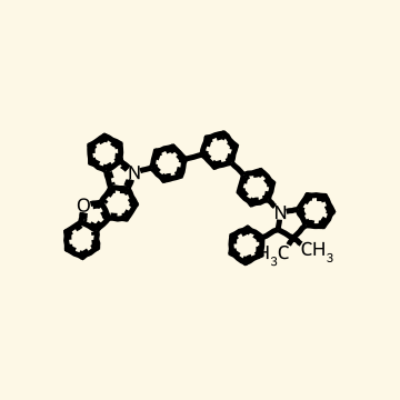 CC1(C)c2ccccc2N(c2ccc(-c3cccc(-c4ccc(-n5c6ccccc6c6c7oc8ccccc8c7ccc65)cc4)c3)cc2)C1c1ccccc1